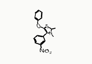 CC1SC(Oc2ccccc2)=C(c2cccc([N+](=O)[O-])c2)N1C